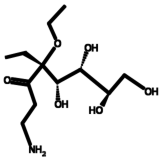 CCO[C@@](CC)(C(=O)CCN)[C@@H](O)[C@H](O)[C@H](O)CO